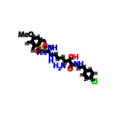 COc1cc(C)c(S(=O)(=O)NC(=N)NCCC[C@H](N)C(O)C(=O)NCCc2ccc(Cl)cc2)c(C)c1C